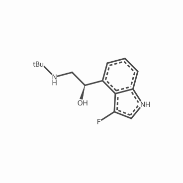 CC(C)(C)NC[C@H](O)c1cccc2[nH]cc(F)c12